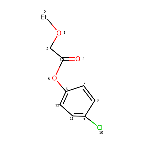 CCOCC(=O)Oc1ccc(Cl)cc1